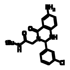 Bc1ccc2c(c1)C(=O)N(CC(=O)NC(C)(C)C)C(c1cccc(Cl)c1)N2